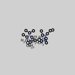 CC1(C)CCC(C)(C)c2cc(-n3c4ccc(C5CC(C)(C)c6cc(-n7c8ccccc8c8ccc(N(c9ccc(-c%10ccc%11ccccc%11c%10)cc9)c9cccc(-c%10ccccc%10)c9)cc87)ccc6C5(C)C)cc4c4ccc(N(c5cccc(-c6ccccc6)c5)c5cc(-c6ccccc6)cc(-c6ccccc6)c5)cc43)ccc21